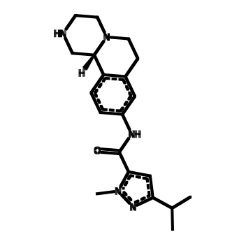 CC(C)c1cc(C(=O)Nc2ccc3c(c2)CCN2CCNC[C@@H]32)n(C)n1